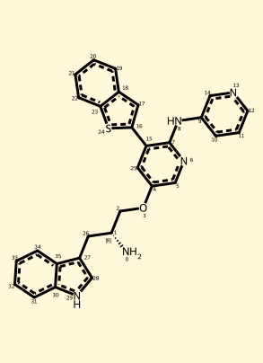 N[C@@H](COc1cnc(Nc2cccnc2)c(-c2cc3ccccc3s2)c1)Cc1c[nH]c2ccccc12